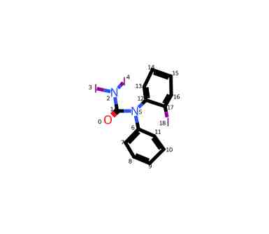 O=C(N(I)I)N(c1ccccc1)c1ccccc1I